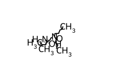 CCCCCN(CC(O)[C@@H](N)CC(C)C)C(=O)CCCC